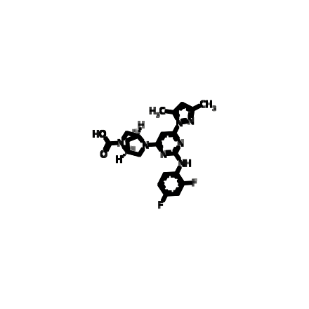 Cc1cc(C)n(-c2cc(N3C[C@@H]4C[C@H]3CN4C(=O)O)nc(Nc3ccc(F)cc3F)n2)n1